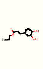 CC(C)CCOC(=O)C=Cc1ccc(O)c(O)c1